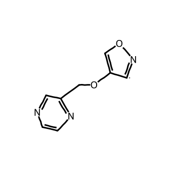 [c]1nocc1OCc1cnccn1